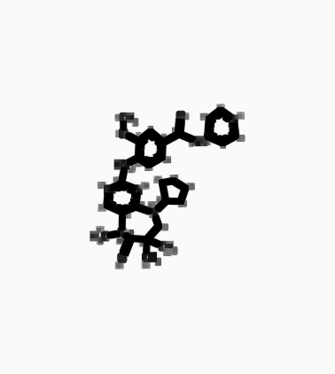 COc1cc(C(=O)Nc2ccncc2)ccc1Nc1ncc2c(n1)N(C1CCCC1)CC(C)(C)C(=O)N2C